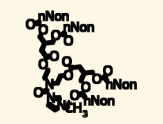 CCCCCCCCCC(=O)OCC(COC(=O)CCCCCCCCC)CC(=O)OCCN(CCOC(=O)CC(COC(=O)CCCCCCCCC)COC(=O)CCCCCCCCC)C(=O)n1cc[n+](C)c1